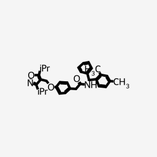 Cc1ccc(C(NC(=O)Cc2ccc(OCc3c(C(C)C)noc3C(C)C)cc2)c2ccccc2)c(C)c1